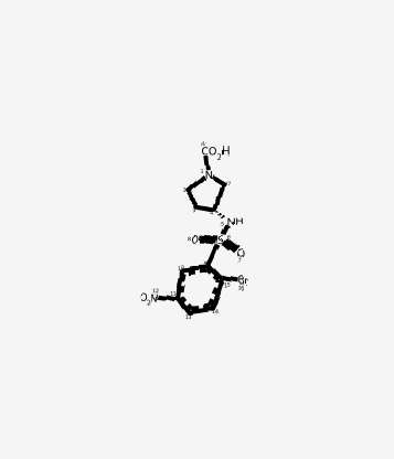 O=C(O)N1CC[C@@H](NS(=O)(=O)c2cc([N+](=O)[O-])ccc2Br)C1